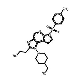 Cc1ccc(S(=O)(=O)n2ccc3c2ncc2nc(CCO)n(N4CCC(CC#N)CC4)c23)cc1